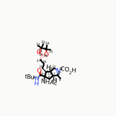 CC(=O)NC1(C(=O)NC(C)(C)C)C[C@H]2C(C)N(C(=O)O)C[C@H]2[C@@H]1CCCB1OC(C)(C)C(C)(C)O1